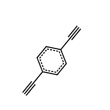 C#Cc1ccc(C#C)cc1